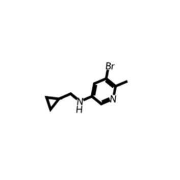 Cc1ncc(NC[C]2CC2)cc1Br